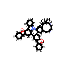 C=C1/C=C\C=C/Cc2ccc(-n3c4ccccc4c4c5oc6ccccc6c5cc(-c5ccc6oc7ccccc7c6c5)c43)cc2C1(C)C